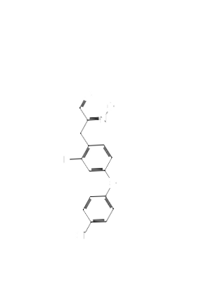 O=CC(Cc1ccc(Oc2ccc(Cl)cc2)cc1F)=NO